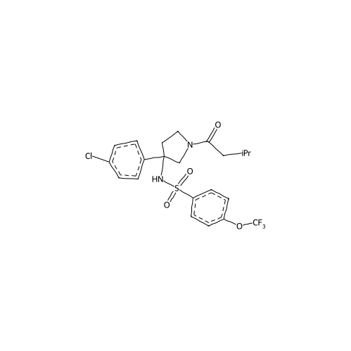 CC(C)CC(=O)N1CCC(NS(=O)(=O)c2ccc(OC(F)(F)F)cc2)(c2ccc(Cl)cc2)C1